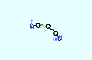 Fc1cc(C2=NCCN2)ccc1CCc1cccc(SCc2ccc(C3=NCCN3)cc2F)c1F